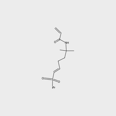 C=CC(=O)NC(C)(C)CC/C=C/S(=O)(=O)C(C)C